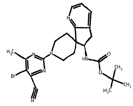 Cc1nc(N2CCC3(CC2)c2ncccc2C[C@H]3NC(=O)OC(C)(C)C)nc(C#N)c1Br